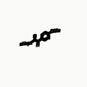 CCCCCCCC(=O)Nc1ccc(OC)nc1